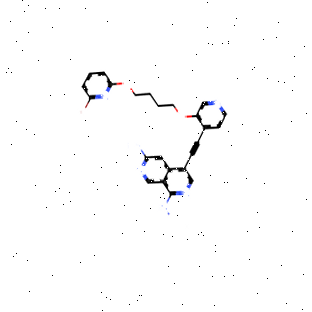 CNc1ncc(C#Cc2ccncc2OCCCCOc2cccc(Br)n2)c2cc(N)ncc12